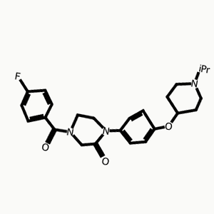 CC(C)N1CCC(Oc2ccc(N3CCN(C(=O)c4ccc(F)cc4)CC3=O)cc2)CC1